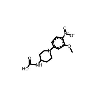 COc1cc(N2CCC(NC(=O)O)CC2)ccc1[N+](=O)[O-]